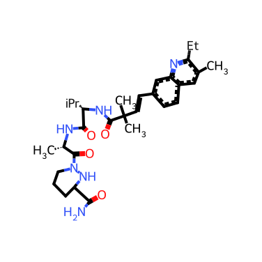 CCc1nc2cc(/C=C/C(C)(C)C(=O)N[C@H](C(=O)N[C@@H](C)C(=O)N3CCCC(C(N)=O)N3)C(C)C)ccc2cc1C